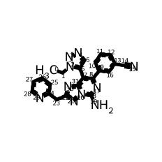 CCn1nncc1-c1c(-c2cccc(C#N)c2)nc(N)n2nc(Cc3ccccn3)nc12